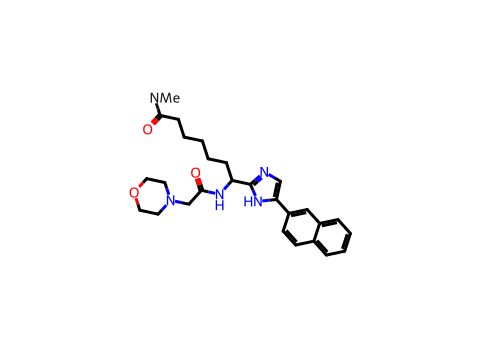 CNC(=O)CCCCCC(NC(=O)CN1CCOCC1)c1ncc(-c2ccc3ccccc3c2)[nH]1